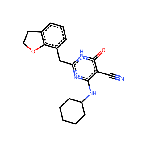 N#Cc1c(NC2CCCCC2)nc(Cc2cccc3c2OCC3)[nH]c1=O